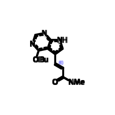 CNC(=O)/C=C/c1c[nH]c2ncnc(OCC(C)C)c12